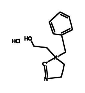 Cl.OCC[N+]1(Cc2ccccc2)[C+]=NCC1